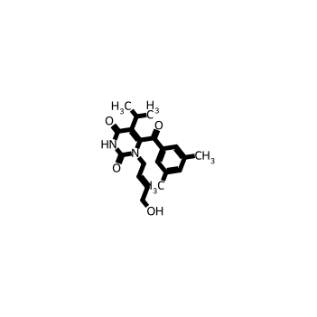 Cc1cc(C)cc(C(=O)c2c(C(C)C)c(=O)[nH]c(=O)n2CC=CCO)c1